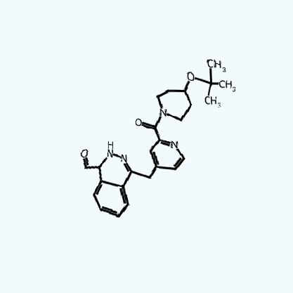 CC(C)(C)OC1CCN(C(=O)c2cc(CC3=NNC(C=O)c4ccccc43)ccn2)CC1